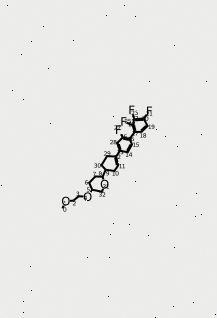 COCCOC1CCC(C2CC=C(c3ccc(-c4ccc(F)c(F)c4F)c(F)c3)CC2)OC1